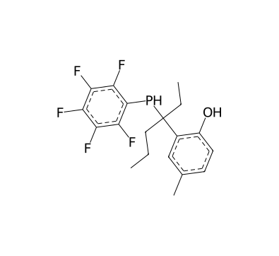 CCCC(CC)(Pc1c(F)c(F)c(F)c(F)c1F)c1cc(C)ccc1O